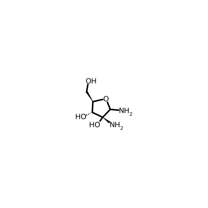 NC1O[C@H](CO)[C@@H](O)[C@@]1(N)O